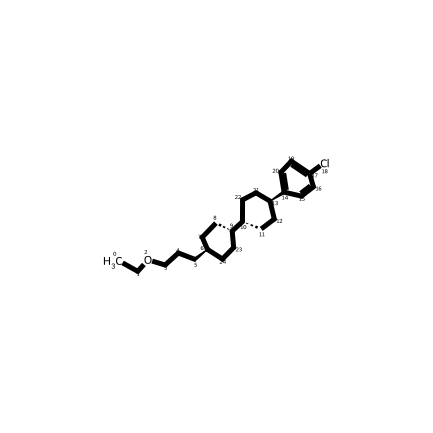 CCOCCC[C@H]1CC[C@H]([C@H]2CC[C@H](c3ccc(Cl)cc3)CC2)CC1